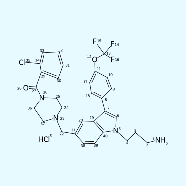 Cl.NCCCn1cc(-c2ccc(OC(F)(F)F)cc2)c2cc(CN3CCN(C(=O)c4ccccc4Cl)CC3)ccc21